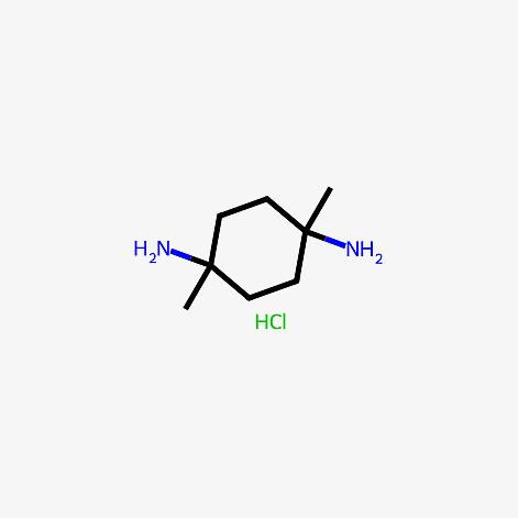 CC1(N)CCC(C)(N)CC1.Cl